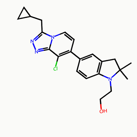 CC1(C)Cc2cc(-c3ccn4c(CC5CC5)nnc4c3Cl)ccc2N1CCO